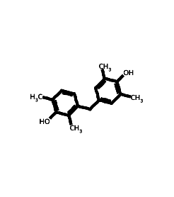 Cc1cc(Cc2ccc(C)c(O)c2C)cc(C)c1O